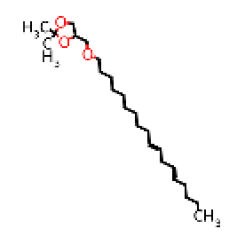 CCCCC=CCC=CCCCCCCCCCOCC1COC(C)(C)O1